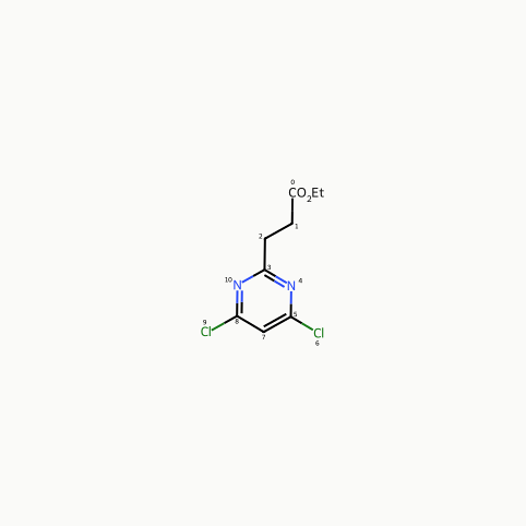 CCOC(=O)CCc1nc(Cl)cc(Cl)n1